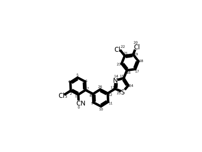 N#Cc1c(Cl)cccc1-c1cccc(-c2nc(-c3ccc(Cl)c(Cl)c3)cs2)c1